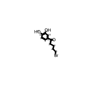 O=C(CCCCBr)c1ccc(O)c(O)c1